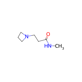 CNC(=O)CCN1CCC1